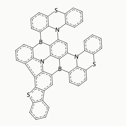 c1ccc2c(c1)Sc1cccc3c1N2c1cc2c4c5c1B3c1cccc3c6c7sc8ccccc8c7cc(c6n-5c13)B4c1cccc3c1N2c1ccccc1S3